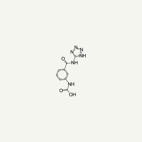 O=C(O)Nc1cccc(C(=O)Nc2nnn[nH]2)c1